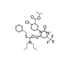 CC(C)OC(=O)c1cc(-n2c(=O)cc(C(F)(F)F)n(C)c2=O)ccc1Cl.CCCN(CCC)C(=O)SCc1ccccc1